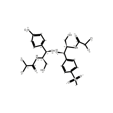 CS(=O)(=O)c1ccc([C@@H](O)[C@@H](CO)NC(=O)C(Cl)Cl)cc1.O=C(N[C@H](CO)[C@H](O)c1ccc([N+](=O)[O-])cc1)C(Cl)Cl